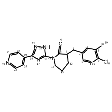 O=C1C(Cc2cnc(Cl)c(F)c2)CCCN1c1nc(-c2ccncc2)n[nH]1